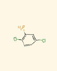 Pc1cc(Cl)ccc1Cl